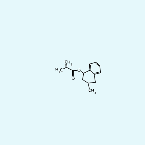 C=C(C)C(=O)OC1CC(C)Cc2ccccc21